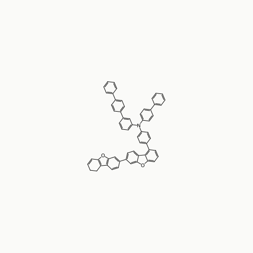 C1=Cc2oc3cc(-c4ccc5c(c4)oc4cccc(-c6ccc(N(c7ccc(-c8ccccc8)cc7)c7cccc(-c8ccc(-c9ccccc9)cc8)c7)cc6)c45)ccc3c2CC1